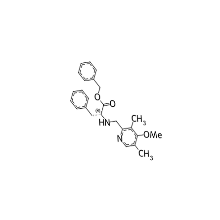 COc1c(C)cnc(CN[C@H](Cc2ccccc2)C(=O)OCc2ccccc2)c1C